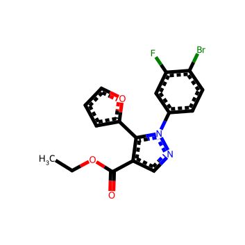 CCOC(=O)c1cnn(-c2ccc(Br)c(F)c2)c1-c1ccco1